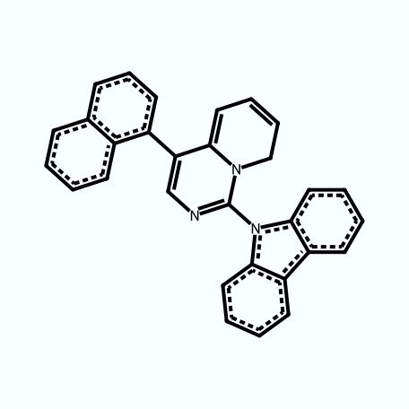 C1=CCN2C(=C1)C(c1cccc3ccccc13)=CN=C2n1c2ccccc2c2ccccc21